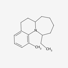 CCC1CCCCC2CCc3cccc(C)c3N12